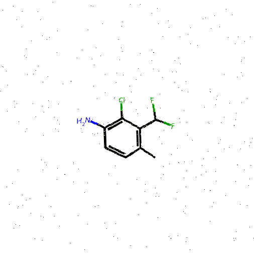 Cc1ccc(N)c(Cl)c1C(F)F